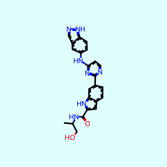 CC(CO)NC(=O)c1cc2ccc(-c3nccc(Nc4ccc5[nH]ncc5c4)n3)cc2[nH]1